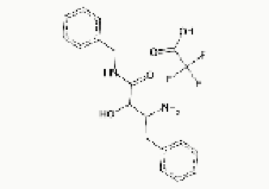 NC(Cc1ccccc1)C(O)C(=O)NCc1ccccc1.O=C(O)C(F)(F)F